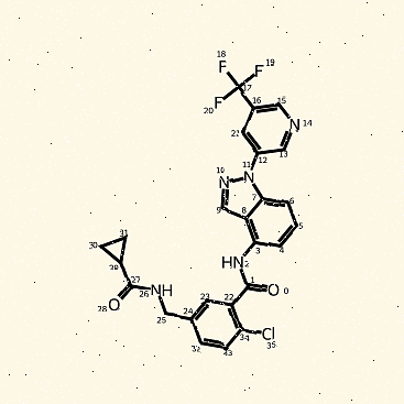 O=C(Nc1cccc2c1cnn2-c1cncc(C(F)(F)F)c1)c1cc(CNC(=O)C2CC2)ccc1Cl